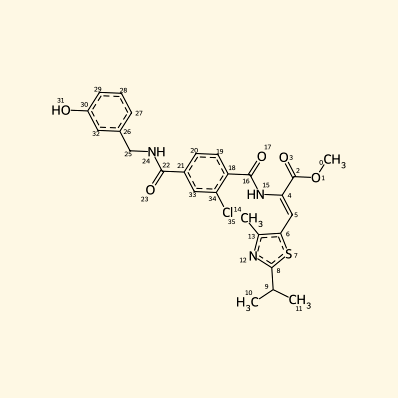 COC(=O)/C(=C/c1sc(C(C)C)nc1C)NC(=O)c1ccc(C(=O)NCc2cccc(O)c2)cc1Cl